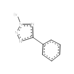 Brn1nnc(-c2ccccc2)n1